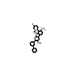 Cc1ccc2c(oc3nc(-c4cccc(-c5ccccc5)c4)c(C#N)cc32)c1-c1ccc(F)c[n+]1C